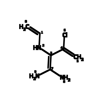 C=CNC(C(=C)Cl)=C(N)N